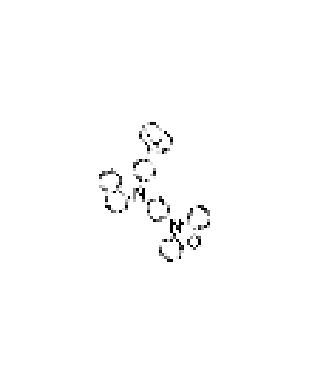 c1ccc2c(c1)Oc1ccccc1N2c1ccc(N(c2ccc(C34CC5CC(CC(C5)C3)C4)cc2)c2cccc3ccccc23)cc1